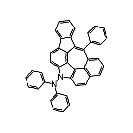 c1ccc(-c2c3c4ccccc4c4ccc5c(c4-3)c3c4c(cccc24)ccc3n5N(c2ccccc2)c2ccccc2)cc1